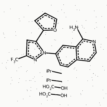 CC(C)C.CC(C)C.Nc1nccc2ccc(-n3nc(C(F)(F)F)cc3-c3ccco3)cc12.O=C(O)O.O=C(O)O